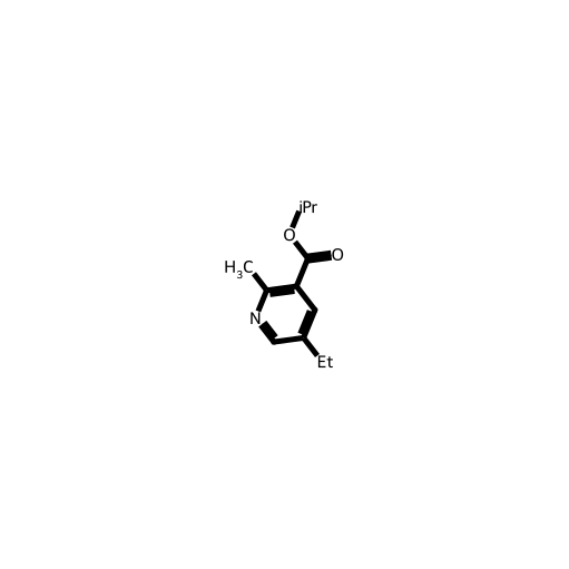 CCc1cnc(C)c(C(=O)OC(C)C)c1